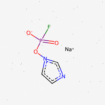 O=P([O-])(F)On1ccnc1.[Na+]